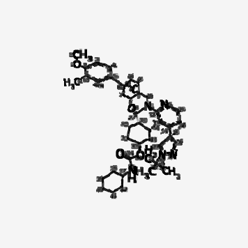 COc1ccc(C23CCC(CN(c4cc(-c5cnn(C(C)(C)C)c5)ccn4)C(=O)[C@H]4CC[C@H](OC(=O)NC5CCCCC5)CC4)(CC2)CC3)cc1C